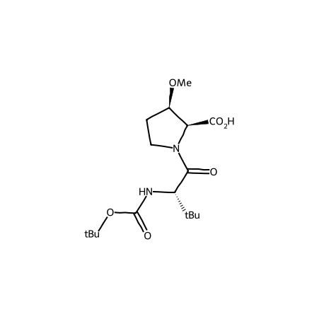 CO[C@@H]1CCN(C(=O)[C@@H](NC(=O)OC(C)(C)C)C(C)(C)C)[C@@H]1C(=O)O